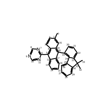 Cc1ccc2c(-c3ncncn3)c3ccccc3c(-c3cccc4c3-c3ccccc3C4(C)C)c2c1